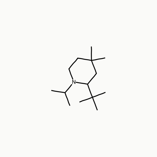 CC(C)N1CCC(C)(C)CC1C(C)(C)C